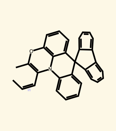 C/C=C\C1=C(C)Oc2cccc3c2N1c1ccccc1C31c2ccccc2-c2ccccc21